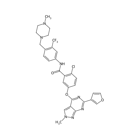 CN1CCN(Cc2ccc(NC(=O)c3cc(Oc4nc(-c5ccoc5)nc5nn(C)cc45)ccc3Cl)cc2C(F)(F)F)CC1